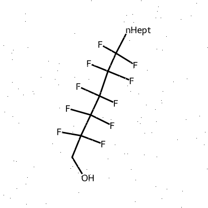 CCCCCCCC(F)(F)C(F)(F)C(F)(F)C(F)(F)C(F)(F)CO